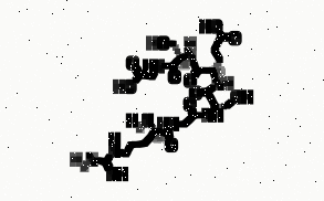 N=C(N)NCCC[C@H](N)C(=O)NCC(=O)N[C@@H](CO)C(=O)N[C@@H](CCC(=O)O)C(=O)N[C@@H](CO)C(=O)NCC(=O)O